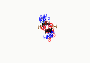 Nc1ncnc2c1ncn2[C@@H]1O[C@@H]2COP(=O)(S)O[C@@H]3[C@H](O)[C@@H](COP(=O)(S)O[C@H]2[C@@H]1F)O[C@H]3n1cnc2c(=O)n3c(nc21)NC(=O)C3